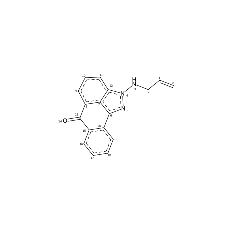 C=CCNn1nc2c3c(cccc31)C(=O)c1ccccc1-2